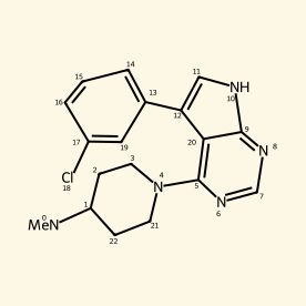 CNC1CCN(c2ncnc3[nH]cc(-c4cccc(Cl)c4)c23)CC1